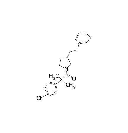 CC(C)(C(=O)N1CCC(CCc2ccccc2)C1)c1ccc(Cl)cc1